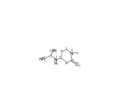 CCCC(NC1CCN(C)C(=O)C1)C(C)C